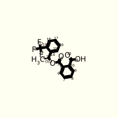 C[C@H](OC(=O)c1ccccc1C(=O)O)c1ccccc1C(F)(F)F